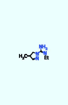 C=C1C=NN(/C(N)=N\CC)C1